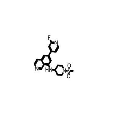 CS(=O)(=O)N1CCC(Nc2cc(-c3ccnc(F)c3)cc3ccncc23)CC1